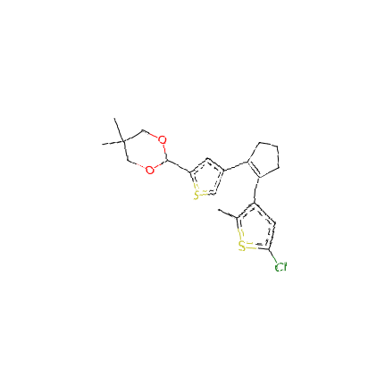 Cc1sc(Cl)cc1C1=C(c2csc(C3OCC(C)(C)CO3)c2)CCC1